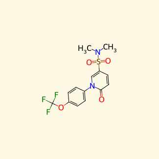 CN(C)S(=O)(=O)c1ccc(=O)n(-c2ccc(OC(F)(F)F)cc2)c1